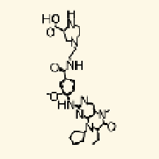 CC[C@@H]1C(=O)N(C)c2cnc(Nc3ccc(C(=O)NCCN4CCNC(C(=O)O)C4)cc3OC)nc2N1C1CCCC1